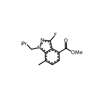 COC(=O)c1ccc(C)c2c1c(F)nn2CC(C)C